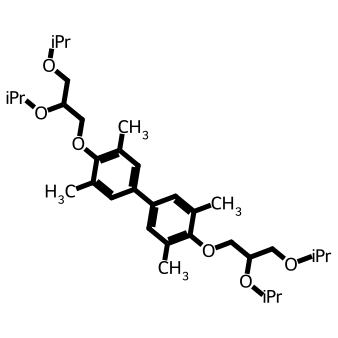 Cc1cc(-c2cc(C)c(OCC(COC(C)C)OC(C)C)c(C)c2)cc(C)c1OCC(COC(C)C)OC(C)C